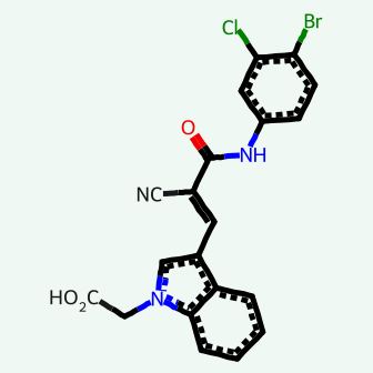 N#C/C(=C\c1cn(CC(=O)O)c2ccccc12)C(=O)Nc1ccc(Br)c(Cl)c1